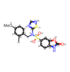 COc1ccc(CN(c2ncns2)S(=O)(=O)c2ccc3[nH]c(=O)oc3c2)c(C)c1